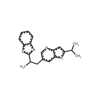 CC(C)c1cc2ncc(CC(C)c3nc4ccccc4s3)cc2s1